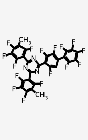 Cc1c(F)c(F)c(F)c(-c2nc(-c3c(F)cc(-c4c(F)c(F)c(F)c(F)c4F)c(F)c3F)nc(-c3c(F)c(C)c(F)c(F)c3F)n2)c1F